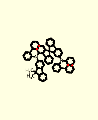 CC1(C)c2ccccc2-c2ccc(N(c3ccccc3-c3ccccc3)c3cccc4c3-c3ccccc3C43c4ccccc4-c4ccc(N(c5ccccc5)c5ccccc5-c5ccccc5)cc43)cc21